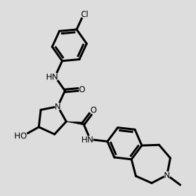 CN1CCc2ccc(NC(=O)[C@H]3CC(O)CN3C(=O)Nc3ccc(Cl)cc3)cc2CC1